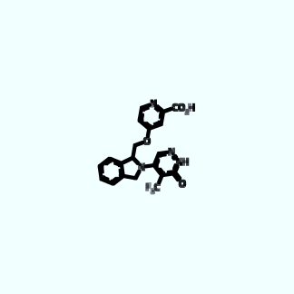 O=C(O)c1cc(OCC2c3ccccc3CN2c2cn[nH]c(=O)c2C(F)(F)F)ccn1